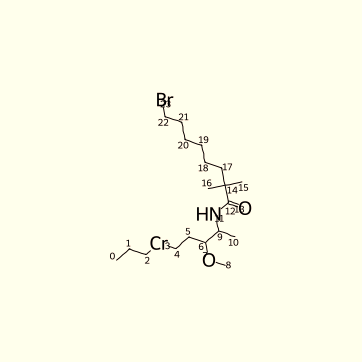 CC[CH2][Cr][CH2]CC(OC)C(C)NC(=O)C(C)(C)CCCCCCBr